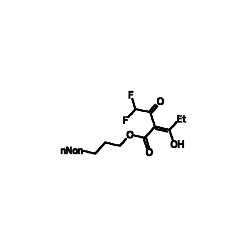 CCCCCCCCCCCCOC(=O)/C(C(=O)C(F)F)=C(\O)CC